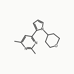 Cc1cc(-c2cccn2C2CCOCC2)nc(C)n1